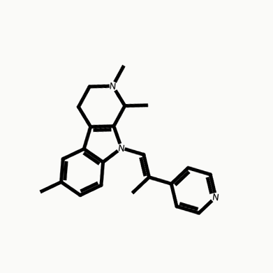 C/C(=C\n1c2c(c3cc(C)ccc31)CCN(C)C2C)c1ccncc1